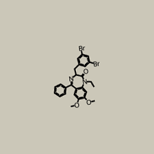 CCN1C(=O)C(Cc2cc(Br)cc(Br)c2)N=C(c2ccccc2)c2cc(OC)c(OC)cc21